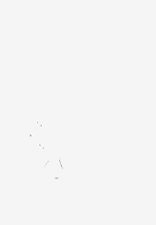 CCCCCCCCCCN1C=CN(c2ccccc2)C1C